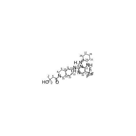 CC(C)(O)CC(=O)N1CCc2cc(Nc3ncc(C(F)(F)F)c(N[C@H]4CCCC[C@H]4N)n3)ccc2C1